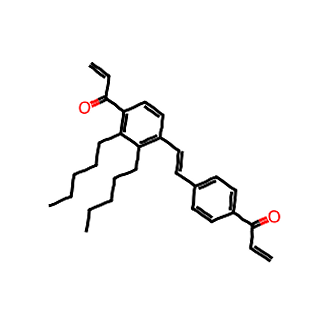 C=CC(=O)c1ccc(C=Cc2ccc(C(=O)C=C)c(CCCCC)c2CCCCC)cc1